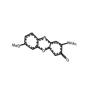 COc1ccc2nc3cc(NC(C)=O)c(=O)cc-3oc2c1